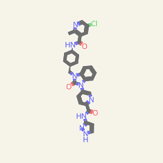 Cc1ncc(Cl)cc1C(=O)N[C@H]1CC[C@H](Cn2c(=O)n(-c3ccc(C(=O)Nc4cc[nH]n4)nc3)c3ccccc32)CC1